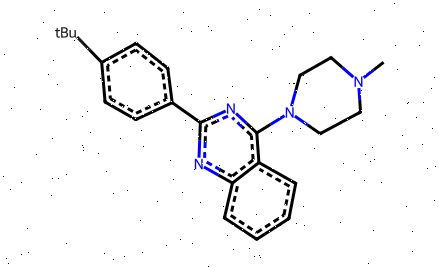 CN1CCN(c2nc(-c3ccc(C(C)(C)C)cc3)nc3ccccc23)CC1